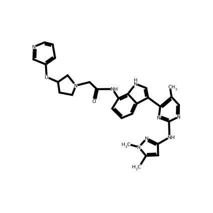 Cc1cnc(Nc2cc(C)n(C)n2)nc1-c1c[nH]c2c(NC(=O)CN3CCC(Oc4cccnc4)C3)cccc12